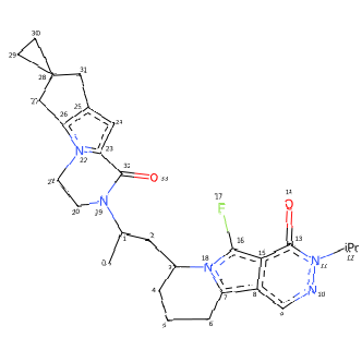 CC(CC1CCCc2c3cnn(C(C)C)c(=O)c3c(F)n21)N1CCn2c(cc3c2CC2(CC2)C3)C1=O